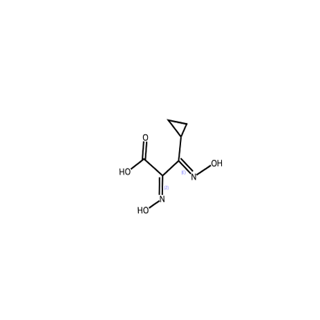 O=C(O)C(=N\O)/C(=N/O)C1CC1